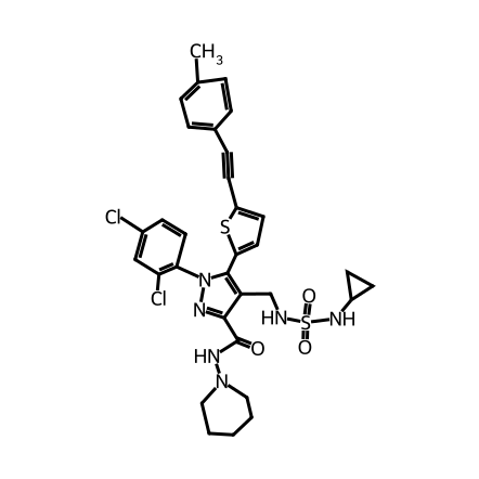 Cc1ccc(C#Cc2ccc(-c3c(CNS(=O)(=O)NC4CC4)c(C(=O)NN4CCCCC4)nn3-c3ccc(Cl)cc3Cl)s2)cc1